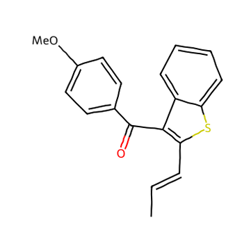 CC=Cc1sc2ccccc2c1C(=O)c1ccc(OC)cc1